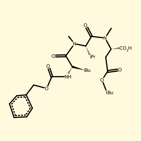 CC[C@H](C)[C@H](NC(=O)OCc1ccccc1)C(=O)N(C)[C@H](C(=O)N(C)[C@@H](CC(=O)OC(C)(C)C)C(=O)O)C(C)C